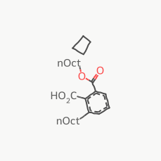 C1CCC1.CCCCCCCCOC(=O)c1cccc(CCCCCCCC)c1C(=O)O